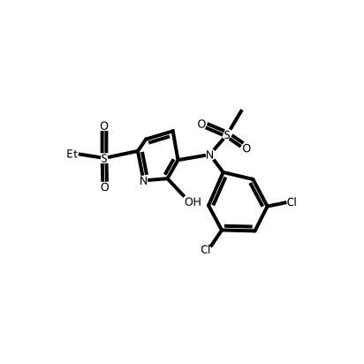 CCS(=O)(=O)c1ccc(N(c2cc(Cl)cc(Cl)c2)S(C)(=O)=O)c(O)n1